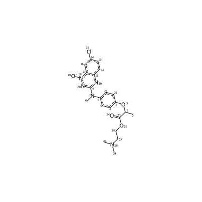 CC(Oc1ccc(N(C)c2nc3ccc(Cl)cc3[n+]([O-])n2)cc1)C(=O)OCCN(C)C